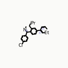 C/C=C\C(=C/CC)c1ccc(/C(=N\C)c2ccc(Cl)cc2)c(CC(C)C)c1